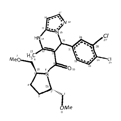 COC[C@@H]1CC[C@@H](COC)N1C(=O)C1=C(C)Nc2ccnn2C1c1ccc(Cl)c(Cl)c1